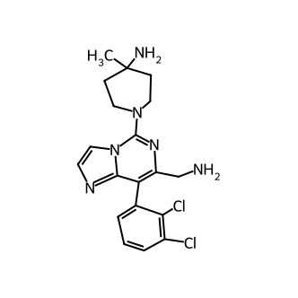 CC1(N)CCN(c2nc(CN)c(-c3cccc(Cl)c3Cl)c3nccn23)CC1